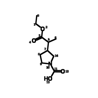 CCOC(=O)C(C)C1CCN(C(=O)O)C1